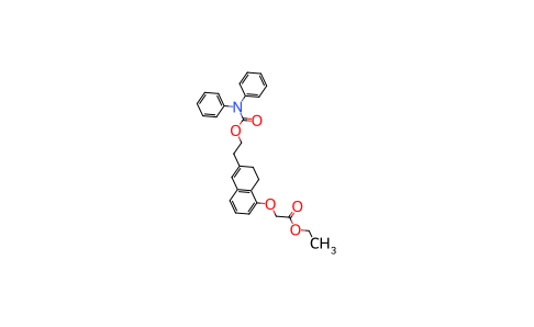 CCOC(=O)COc1cccc2c1CCC(CCOC(=O)N(c1ccccc1)c1ccccc1)=C2